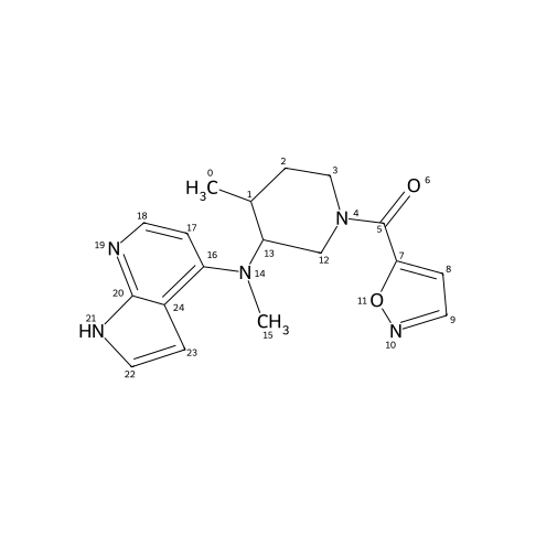 CC1CCN(C(=O)c2ccno2)CC1N(C)c1ccnc2[nH]ccc12